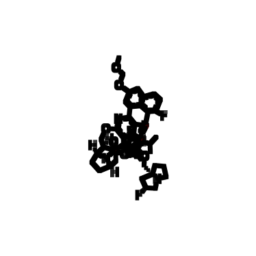 COCOc1cc(-c2nc3c4c(nc(OC[C@]56CCCN5C[C@@H](F)C6)nc4c2F)N2C[C@H]4CC[C@@H]([C@H]2CO3)N4C(=O)OC(C)(C)C)c2c(C#C[Si](C(C)C)(C(C)C)C(C)C)c(F)ccc2c1